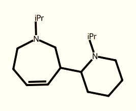 CC(C)N1CCC=CC(C2CCCCN2C(C)C)C1